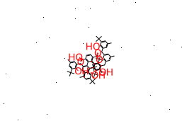 Cc1cc(Cc2cc(C)cc(C(C)(C)C)c2O)c(OC(=O)c2ccc(C(=O)O)c(-c3c(Cc4cc(C)cc(C(C)(C)C)c4O)cc(C)cc3C(C)(C)C)c2-c2c(Cc3cc(C)cc(C(C)(C)C)c3O)cc(C)cc2C(C)(C)C)c(Cc2cc(C)cc(C(C)(C)C)c2O)c1